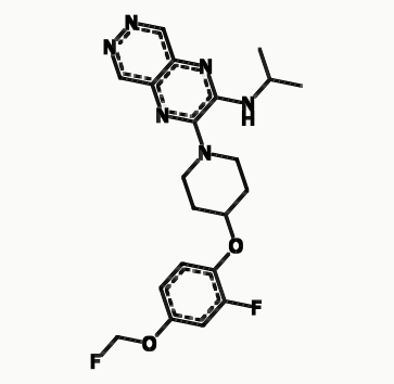 CC(C)Nc1nc2cnncc2nc1N1CCC(Oc2ccc(OCF)cc2F)CC1